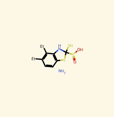 CCc1ccc2c(c1CC)NC(S)(S(=O)O)S2.N